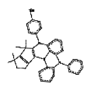 CC1(C)CCC2=C1C(C)(C)C1=C2B2c3ccccc3N(c3ccccc3)c3cccc(c32)N1c1ccc(C(C)(C)C)cc1